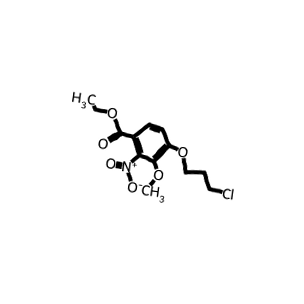 CCOC(=O)c1ccc(OCCCCl)c(OC)c1[N+](=O)[O-]